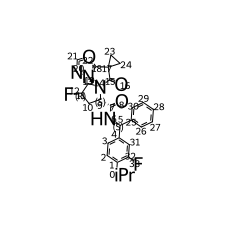 CC(C)c1ccc([C@@H](NC(=O)[C@@H]2C[C@@H](F)CN2C(=O)C2(c3nnco3)CC2)c2ccccc2)cc1F